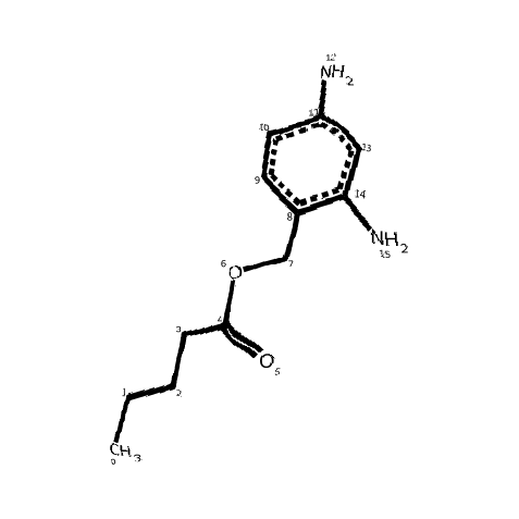 CCCCC(=O)OCc1ccc(N)cc1N